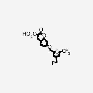 O=C(O)c1cc2ccc(OCc3cc(CF)cc(C(F)(F)F)c3)cc2oc1=O